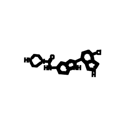 O=C(Nc1ccc2[nH]c(-c3ccc(Cl)c4c[nH]cc34)cc2c1)N1CCNCC1